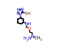 CN(N)CCOCNc1cccc(-n2nnnc2S)c1